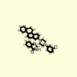 Clc1cccc(N2CCN(c3ccc4c5c(ccc4c3)C3=C(CCC=C3)CC5)CC2)c1.O=c1[nH]cnc2ccccc12